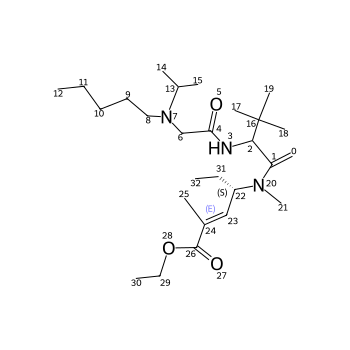 C=C(C(NC(=O)CN(CCCCC)C(C)C)C(C)(C)C)N(C)[C@H](/C=C(\C)C(=O)OCC)CC